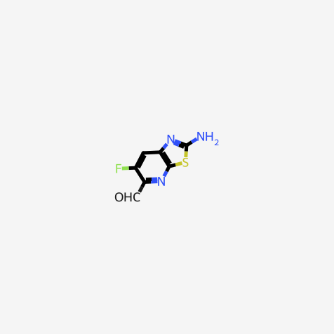 Nc1nc2cc(F)c(C=O)nc2s1